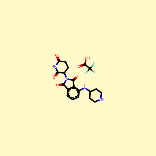 O=C(O)C(F)(F)F.O=C1CCC(N2C(=O)c3cccc(NC4CCNCC4)c3C2=O)C(=O)N1